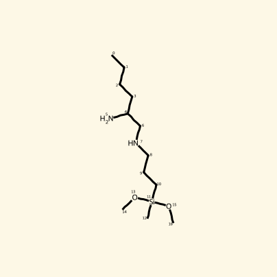 CCCCC(N)CNCCC[Si](C)(OC)OC